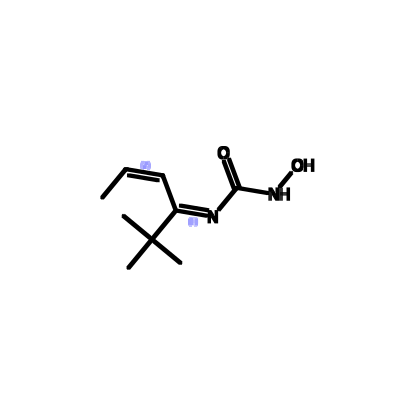 C/C=C\C(=N/C(=O)NO)C(C)(C)C